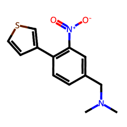 CN(C)Cc1ccc(-c2ccsc2)c([N+](=O)[O-])c1